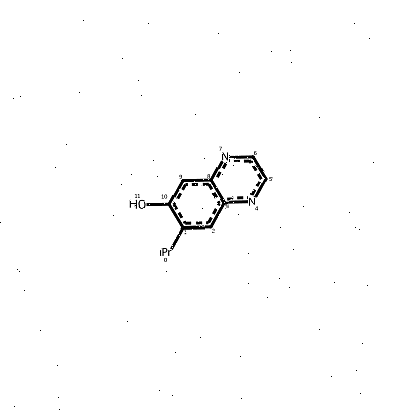 CC(C)c1cc2nccnc2cc1O